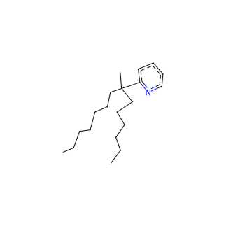 CCCCCCCC(C)(CCCCCC)c1ccccn1